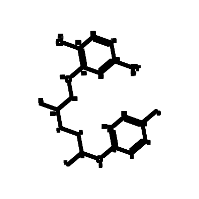 Cc1ccc(OC(C)CCC(C)COc2cc(C(C)C)ccc2Cl)nc1